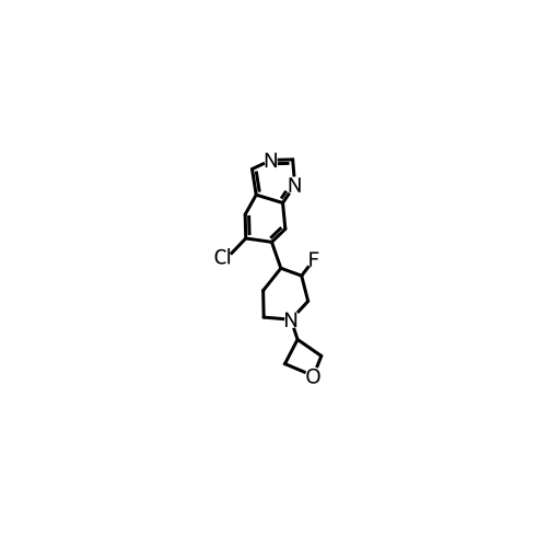 FC1CN(C2COC2)CCC1c1cc2ncncc2cc1Cl